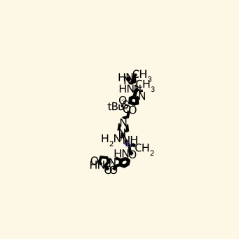 C=C/C(=C\N[C@@H](N)N1CCN(CCCOc2cc3ncnc(Nc4n[nH]c(C)c4C)c3cc2S(=O)(=O)C(C)(C)C)CC1)C(=O)Nc1cccc2c1CN([C@H]1CCC(=O)NC1=O)C2=O